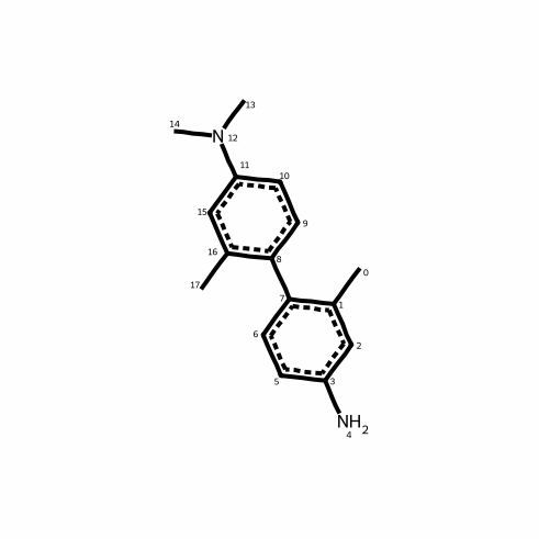 Cc1cc(N)ccc1-c1ccc(N(C)C)cc1C